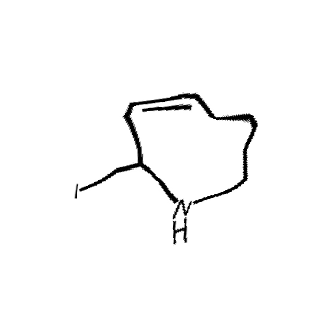 IC1C=CCCN1